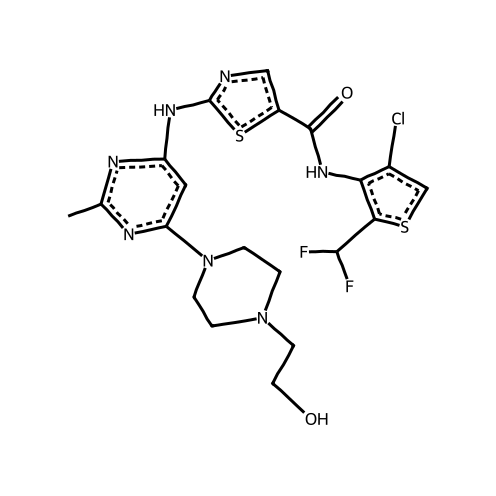 Cc1nc(Nc2ncc(C(=O)Nc3c(Cl)csc3C(F)F)s2)cc(N2CCN(CCO)CC2)n1